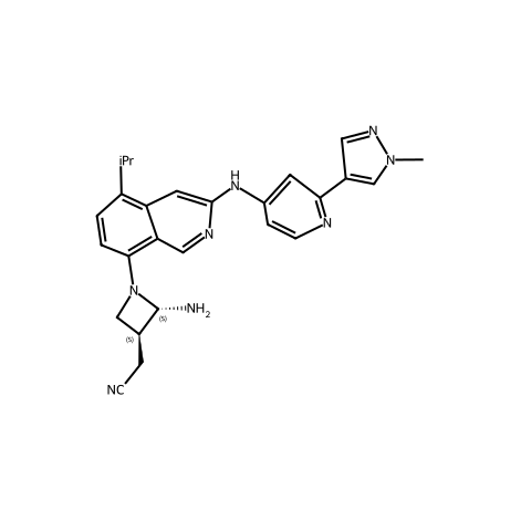 CC(C)c1ccc(N2C[C@H](CC#N)[C@H]2N)c2cnc(Nc3ccnc(-c4cnn(C)c4)c3)cc12